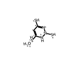 O.SC1=CC(S)=NN(S)N1